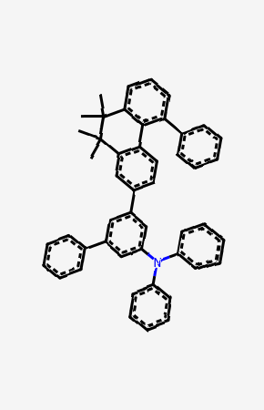 CC1(C)c2cc(-c3cc(-c4ccccc4)cc(N(c4ccccc4)c4ccccc4)c3)ccc2-c2c(-c3ccccc3)cccc2C1(C)C